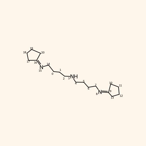 C(CCNCCCCN=C1CCCC1)CN=C1CCCC1